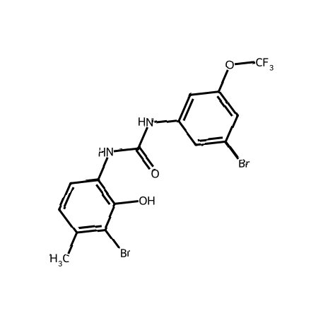 Cc1ccc(NC(=O)Nc2cc(Br)cc(OC(F)(F)F)c2)c(O)c1Br